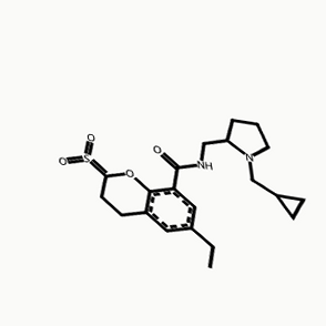 CCc1cc2c(c(C(=O)NCC3CCCN3CC3CC3)c1)OC(=S(=O)=O)CC2